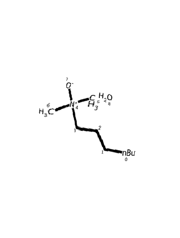 CCCCCCC[N+](C)(C)[O-].O